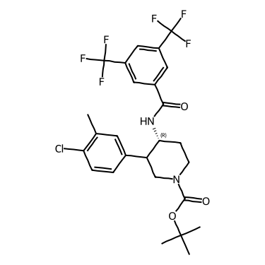 Cc1cc(C2CN(C(=O)OC(C)(C)C)CC[C@H]2NC(=O)c2cc(C(F)(F)F)cc(C(F)(F)F)c2)ccc1Cl